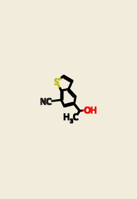 CC(O)c1cc(C#N)c2sccc2c1